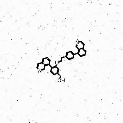 OCc1ccc(-c2cccc3ccncc23)c(OCCc2ccc(-c3cccc4ccncc34)cc2)c1